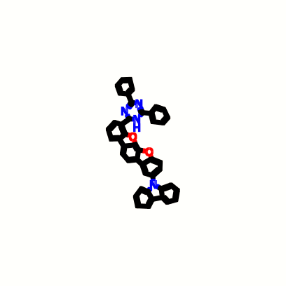 c1ccc(C2=NC(c3cccc4c3oc3c4ccc4c5cc(-n6c7ccccc7c7ccccc76)ccc5oc43)NC(c3ccccc3)=N2)cc1